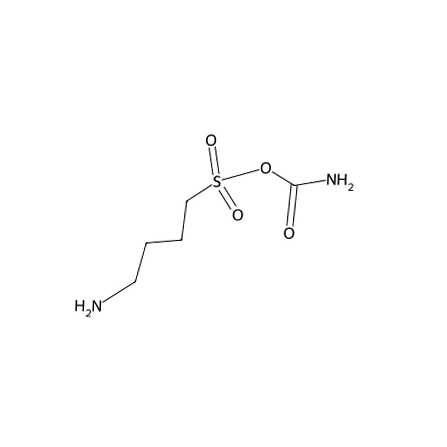 NCCCCS(=O)(=O)OC(N)=O